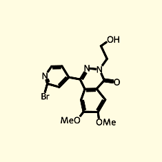 COc1cc2c(-c3ccnc(Br)c3)nn(CCO)c(=O)c2cc1OC